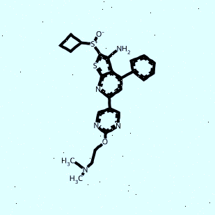 CN(C)CCOc1ncc(-c2cc(-c3ccccc3)c3c(N)c([S+]([O-])C4CCC4)sc3n2)cn1